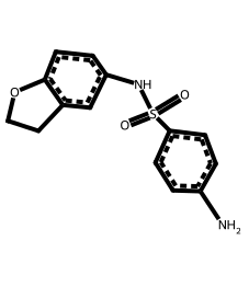 Nc1ccc(S(=O)(=O)Nc2ccc3c(c2)CCO3)cc1